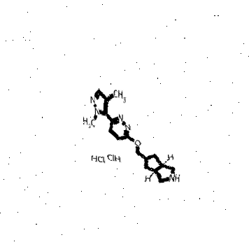 Cc1cnn(C)c1-c1ccc(OCC2C[C@H]3CNC[C@H]3C2)nn1.Cl.Cl